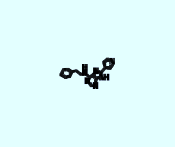 c1ccc(CCNc2ncnc3[nH]c(-c4ccncc4)nc23)cc1